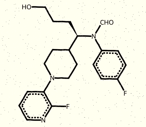 O=CN(c1ccc(F)cc1)[C@H](CCCO)C1CCN(c2cccnc2F)CC1